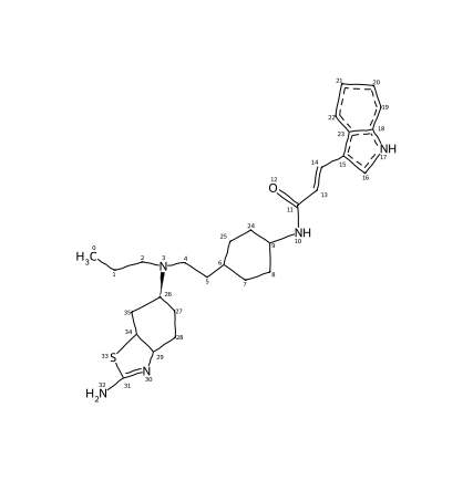 CCCN(CCC1CCC(NC(=O)/C=C/c2c[nH]c3ccccc23)CC1)[C@H]1CCC2N=C(N)SC2C1